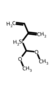 C=CC(=C)[SiH2]C(OC)OC